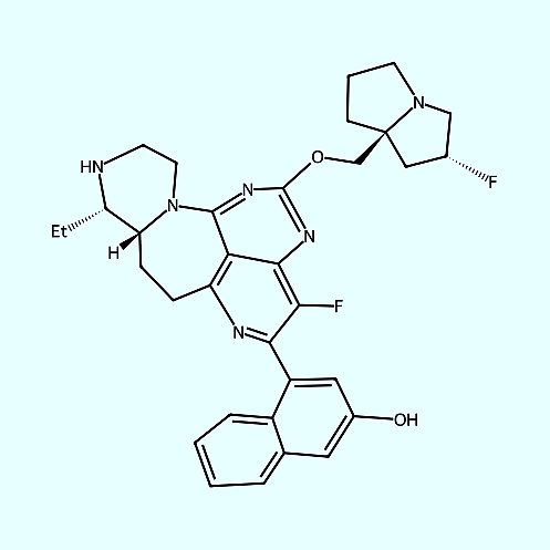 CC[C@@H]1NCCN2c3nc(OC[C@@]45CCCN4C[C@H](F)C5)nc4c(F)c(-c5cc(O)cc6ccccc56)nc(c34)CC[C@H]12